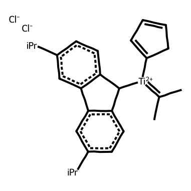 C[C](C)=[Ti+2]([C]1=CC=CC1)[CH]1c2ccc(C(C)C)cc2-c2cc(C(C)C)ccc21.[Cl-].[Cl-]